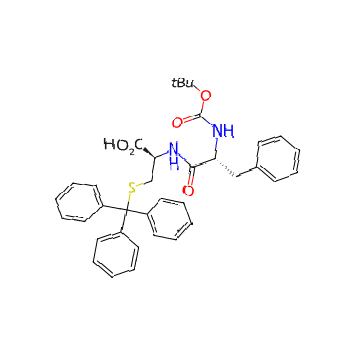 CC(C)(C)OC(=O)N[C@H](Cc1ccccc1)C(=O)N[C@@H](CSC(c1ccccc1)(c1ccccc1)c1ccccc1)C(=O)O